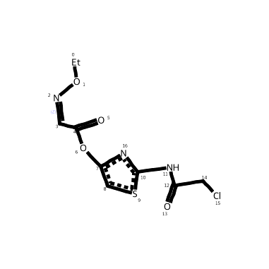 CCO/N=C\C(=O)Oc1csc(NC(=O)CCl)n1